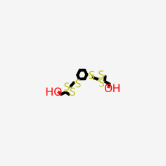 OCC1CSC(CSC2CCCC(SCC3SCC(CO)S3)C2)S1